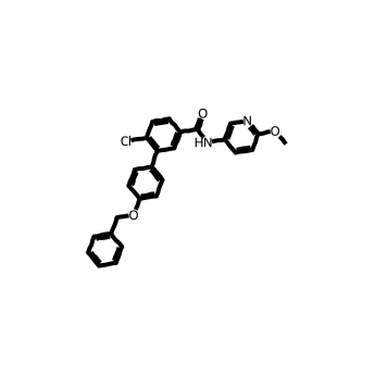 COc1ccc(NC(=O)c2ccc(Cl)c(-c3ccc(OCc4ccccc4)cc3)c2)cn1